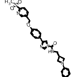 CS(=O)(=O)c1ccc(COc2ccc(-c3cn(C(=O)NCC4CN(c5ccccc5)C4)cn3)cc2)cn1